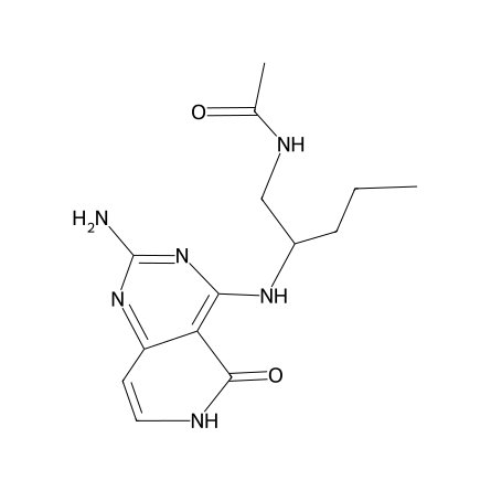 CCCC(CNC(C)=O)Nc1nc(N)nc2cc[nH]c(=O)c12